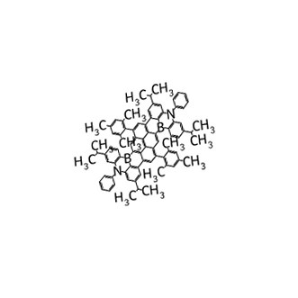 Cc1cc(C)c(-c2cc3c4c(cc5c(-c6c(C)cc(C)cc6C)cc6c7c(cc2c4c57)B2c4ccc(C(C)C)cc4N(c4ccccc4)c4cc(C(C)C)cc-6c42)B2c4ccc(C(C)C)cc4N(c4ccccc4)c4cc(C(C)C)cc-3c42)c(C)c1